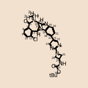 [2H]C([2H])([2H])N1C(=O)c2cccc(Cl)c2[C@H]2C[C@@H]1c1nc3ccc(-c4cnc(N5CC(NC(=O)OC(C)(C)C)C5)nc4)cc3n12